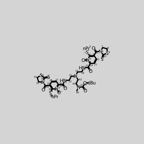 CCCSc1c(C(=O)N2CCSC2=S)ccc(C(=O)NCCN(CCNC(=O)c2ccc(C(=O)N3CCSC3=S)c(SCCC)[n+]2[O-])CCN(C)C(=O)OC(C)(C)C)[n+]1[O-]